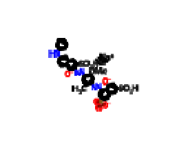 COc1cc(N=Nc2cc(S(=O)(=O)[O-])cc3cc(S(=O)(=O)O)cc([O-])c23)c(C)cc1N=Nc1c(S(=O)(=O)O)cc2cc(Nc3ccccc3)ccc2c1[O-].[Na+].[Na+].[Na+]